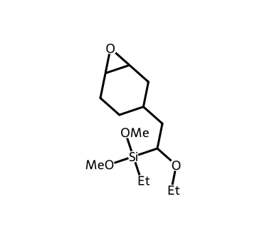 CCOC(CC1CCC2OC2C1)[Si](CC)(OC)OC